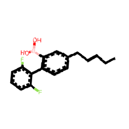 CCCCCc1ccc(-c2c(F)cccc2F)c(B(O)O)c1